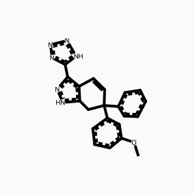 COc1cccc(C2(c3ccccc3)C=Cc3c(-c4nnn[nH]4)n[nH]c3C2)c1